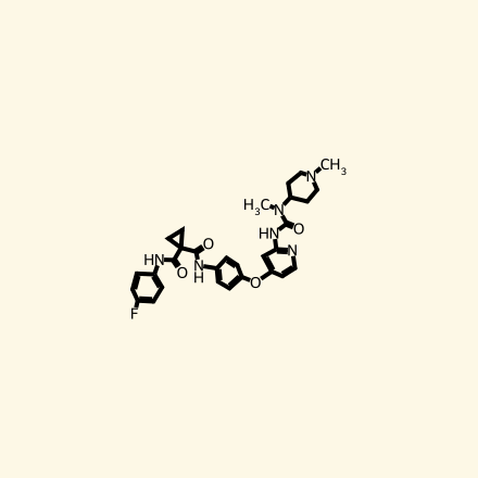 CN1CCC(N(C)C(=O)Nc2cc(Oc3ccc(NC(=O)C4(C(=O)Nc5ccc(F)cc5)CC4)cc3)ccn2)CC1